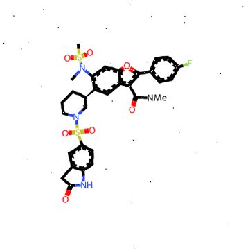 CNC(=O)c1c(-c2ccc(F)cc2)oc2cc(N(C)S(C)(=O)=O)c([C@@H]3CCCN(S(=O)(=O)c4ccc5c(c4)CC(=O)N5)C3)cc12